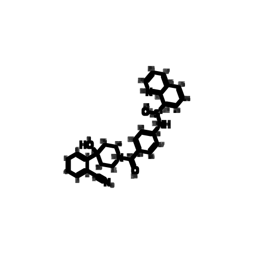 N#Cc1ccccc1C1(O)CCN(C(=O)c2ccc(N[S+]([O-])c3cccc4cccnc34)cc2)CC1